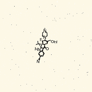 CC(C)n1c2[nH]c3cc(C#N)ccc3c2c(=O)c2cc(CO)c(N3CCN(C)CC3)c(F)c21